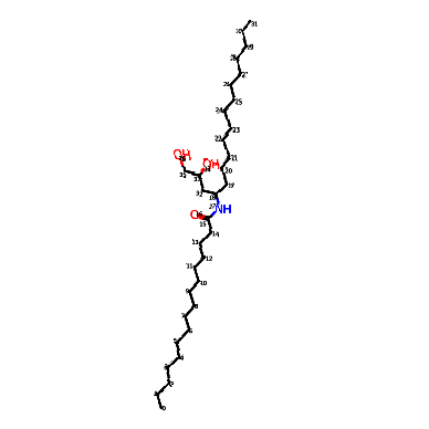 CCCCCCCCCCCCCCCC(=O)NC(CCCCCCCCCCCCC)CC(O)CO